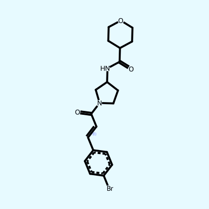 O=C(NC1CCN(C(=O)/C=C/c2ccc(Br)cc2)C1)C1CCOCC1